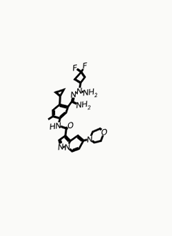 Cc1cc(C2CC2)c(/C(N)=N/N(N)C2CC(F)(F)C2)cc1NC(=O)c1cnn2ccc(N3CCOCC3)cc12